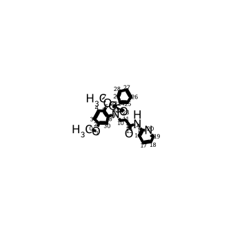 COc1ccc(OC)c(N(CCC(=O)Nc2ccccn2)S(=O)(=O)c2ccccc2)c1